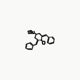 CC(C)(C)C1C/C(=C/c2ccccc2)C(=O)/C(=C/c2ccccc2)C1